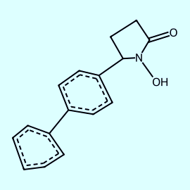 O=C1CCC(c2ccc(-c3ccccc3)cc2)N1O